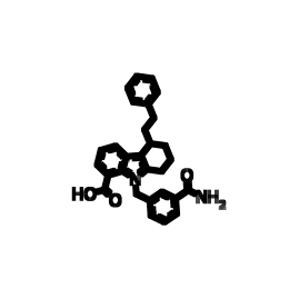 NC(=O)c1cccc(Cn2c3c(c4cccc(C(=O)O)c42)C(CCc2ccccc2)CCC3)c1